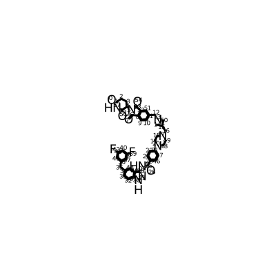 O=C1CCC(N2C(=O)c3ccc(CN4CC(CN5CCN(c6ccc(C(=O)Nc7n[nH]c8ccc(Cc9cc(F)cc(F)c9)cc78)cc6)CC5)C4)cc3C2=O)C(=O)N1